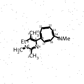 C=N\C(C)=N/C(=C(/C)CC)C1=C/C=C\C=C(NC)/C=C\1